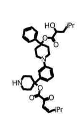 CC(C)/C=C\C(=O)C(=O)OC1(c2cccc(N3CCC(OC(=O)C(O)CC(C)C)(c4ccccc4)CC3)c2)CCNCC1